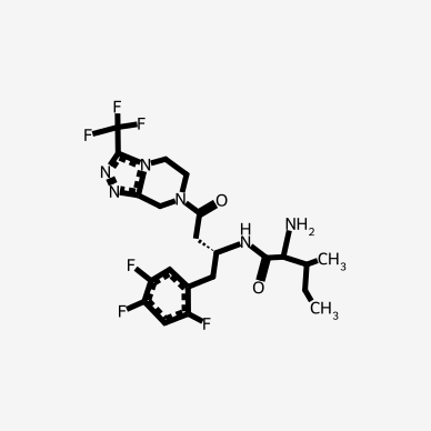 CCC(C)C(N)C(=O)N[C@@H](CC(=O)N1CCn2c(nnc2C(F)(F)F)C1)Cc1cc(F)c(F)cc1F